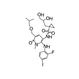 CC(C)COCc1cc(NS(=O)(=O)C2(CC(O)CO)CC2)c(Nc2ccc(I)cc2F)n(C)c1=O